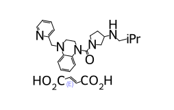 CC(C)CNC1CCN(C(=O)N2CCN(Cc3ccccn3)c3ccccc32)C1.O=C(O)/C=C/C(=O)O